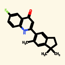 Cc1cc2c(cc1-c1cc(=O)c3cc(F)ccc3[nH]1)CCC2(C)C